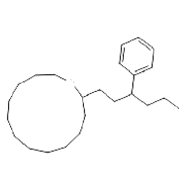 [CH2]CCC(CC[C]1CCCCCCCCCCCO1)c1ccccc1